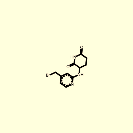 O=C1CCC(Nc2cc(CBr)ccn2)C(=O)N1